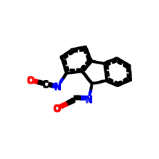 O=C=Nc1cccc2c1C(N=C=O)c1ccccc1-2